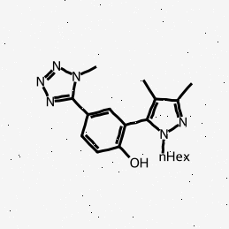 CCCCCCn1nc(C)c(C)c1-c1cc(-c2nnnn2C)ccc1O